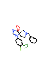 O=C1N=CN(c2ccc(F)c(Cl)c2)C12CCN(Cc1ccccc1)CC2